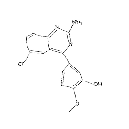 COc1ccc(-c2nc(N)nc3ccc(Cl)cc23)cc1O